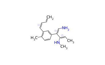 C=C/C=C\c1cc(C(=C/N)/C(=C/C)NC)ccc1C